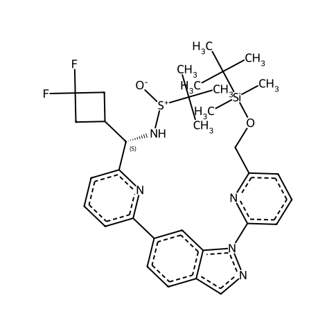 CC(C)(C)[S+]([O-])N[C@H](c1cccc(-c2ccc3cnn(-c4cccc(CO[Si](C)(C)C(C)(C)C)n4)c3c2)n1)C1CC(F)(F)C1